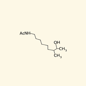 CC(=O)NCCCCCCC(C)C(C)O